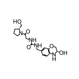 O=C(NCC(=O)N1CCC[C@H]1CO)NCc1ccc2c(c1)OC[C@@H](O)N2